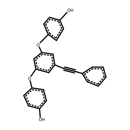 Oc1ccc(Oc2cc(C#Cc3ccccc3)cc(Oc3ccc(O)cc3)c2)cc1